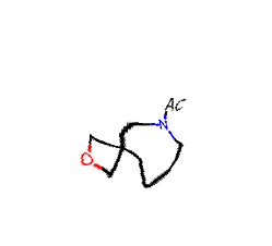 [CH2]C(=O)N1CCCC2(COC2)C1